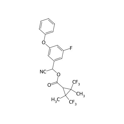 CC1(C(F)(F)F)C(C(=O)OC(C#N)c2cc(F)cc(Oc3ccccc3)c2)C1(C)C(F)(F)F